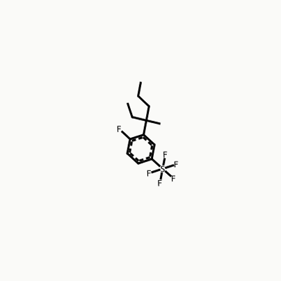 CCCC(C)(CC)c1cc(S(F)(F)(F)(F)F)ccc1F